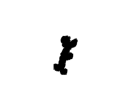 C1=CC2Oc3c(-c4ccc(-c5ccc(-c6cc(-c7ccncc7)cc(-c7ccncc7)c6)cc5)cc4)ccc(-c4ccc(-c5nc(-c6ccccc6)nc(-c6ccc7c(c6)oc6ccccc67)n5)cc4)c3OC2C=C1